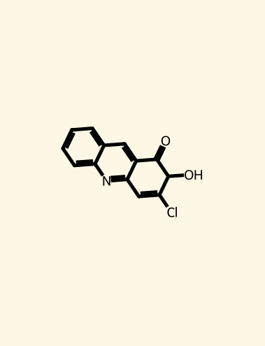 O=C1c2cc3ccccc3nc2C=C(Cl)C1O